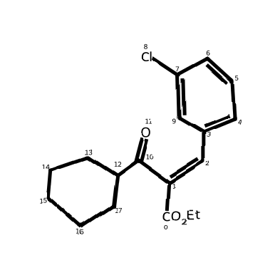 CCOC(=O)C(=Cc1cccc(Cl)c1)C(=O)C1CCCCC1